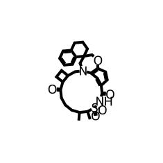 CC1CCCC(=O)C2CCC2CN2CC3(CCCc4ccccc43)COc3ccc(cc32)C(=O)NS(=O)(=O)C1C